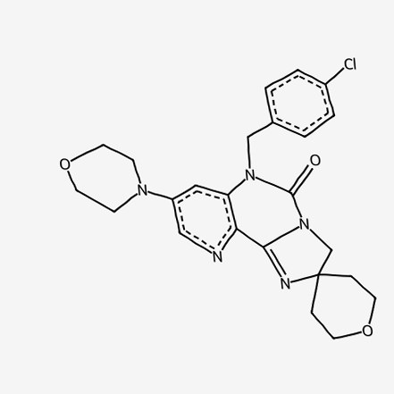 O=C1N2CC3(CCOCC3)N=C2c2ncc(N3CCOCC3)cc2N1Cc1ccc(Cl)cc1